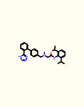 CC(C)c1cccc(C(C)C)c1NC(=O)CN(I)Cc1ccc(-c2ccccc2-c2nnn[nH]2)cc1